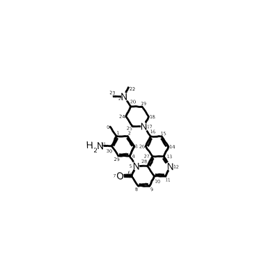 Cc1ccc(-n2c(=O)ccc3cnc4ccc(N5CCC(N(C)C)CC5)cc4c32)cc1N